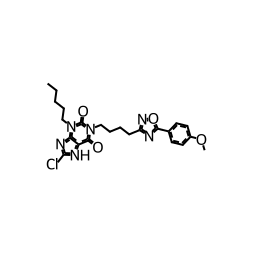 CCCCCn1c(=O)n(CCCCc2noc(-c3ccc(OC)cc3)n2)c(=O)c2[nH]c(Cl)nc21